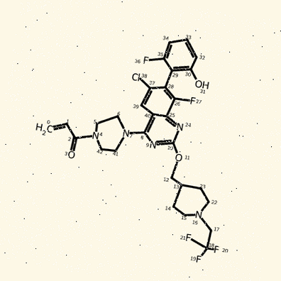 C=CC(=O)N1CCN(c2nc(OCC3CCN(CC(F)(F)F)CC3)nc3c(F)c(-c4c(O)cccc4F)c(Cl)cc23)CC1